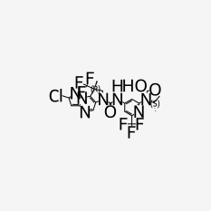 C[C@H]1COC(O)N1c1cc(NC(=O)N2C[C@@](C)(C(F)(F)F)c3c2cnc2cc(Cl)nn32)cc(C(F)(F)F)n1